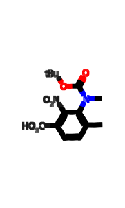 Cc1ccc(C(=O)O)c([N+](=O)[O-])c1N(C)C(=O)OC(C)(C)C